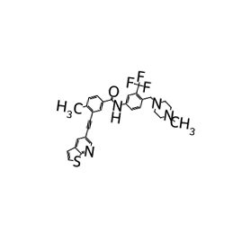 Cc1ccc(C(=O)Nc2ccc(CN3CCN(C)CC3)c(C(F)(F)F)c2)cc1C#Cc1cnc2sccc2c1